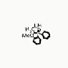 COC(C)P(=O)(c1ccccc1)c1ccccc1.[LiH]